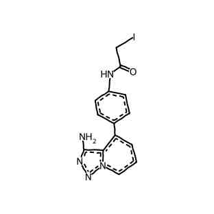 Nc1nnn2cccc(-c3ccc(NC(=O)CI)cc3)c12